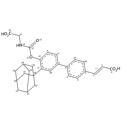 O=C(O)/C=C/c1ccc(-c2ccc(OC(=O)NCC(=O)O)c(C34CC5CC(CC(C5)C3)C4)c2)cc1